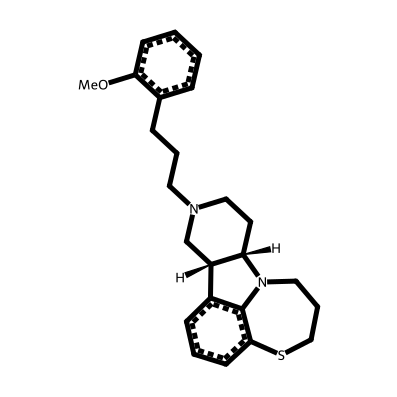 COc1ccccc1CCCN1CC[C@H]2[C@@H](C1)c1cccc3c1N2CCCS3